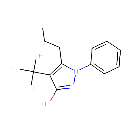 CCCc1c(C(C)(C)C)c(O)nn1-c1ccccc1